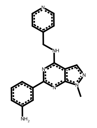 Cn1ncc2c(NCc3ccncc3)nc(-c3cccc(N)c3)nc21